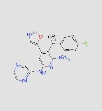 CC(c1ccc(F)cc1)c1c(-c2cnco2)cc(Nc2cnccn2)nc1N